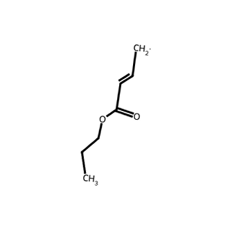 [CH2]/C=C/C(=O)OCCC